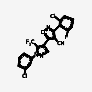 N#Cc1c(-c2c(F)cccc2Cl)noc1-c1cnn(-c2cccc(Cl)c2)c1C(F)(F)F